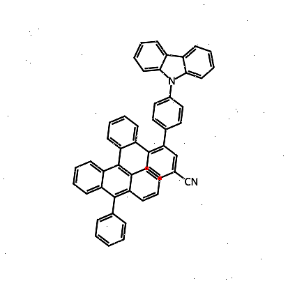 N#Cc1ccc(-c2ccccc2-c2c3ccccc3c(-c3ccccc3)c3ccccc23)c(-c2ccc(-n3c4ccccc4c4ccccc43)cc2)c1